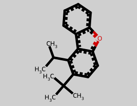 CC(C)c1c(C(C)(C)C)ccc2oc3ccccc3c12